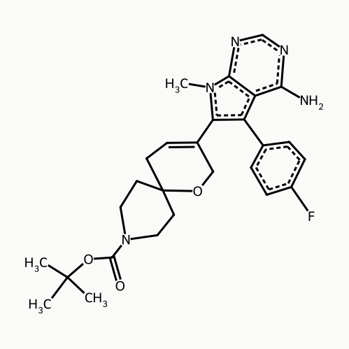 Cn1c(C2=CCC3(CCN(C(=O)OC(C)(C)C)CC3)OC2)c(-c2ccc(F)cc2)c2c(N)ncnc21